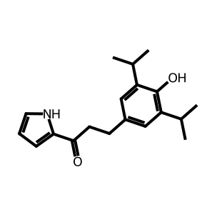 CC(C)c1cc(CCC(=O)c2ccc[nH]2)cc(C(C)C)c1O